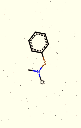 CCN(C)Sc1ccccc1